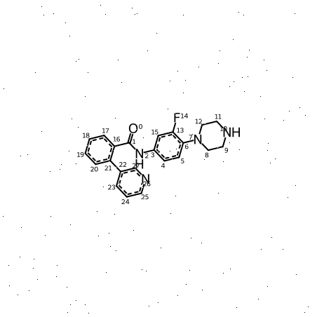 O=C(Nc1ccc(N2CCNCC2)c(F)c1)c1ccccc1-c1cccnc1